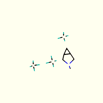 CN1CC2CC2C1.F[B-](F)(F)F.F[B-](F)(F)F.F[B-](F)(F)F